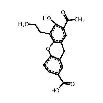 CCCc1c(O)c(C(C)=O)cc2c1Oc1ccc(C(=O)O)cc1C2